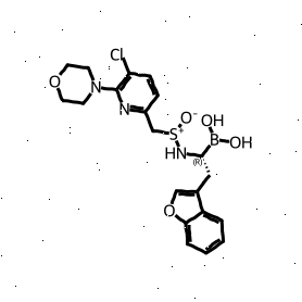 [O-][S+](Cc1ccc(Cl)c(N2CCOCC2)n1)N[C@@H](Cc1coc2ccccc12)B(O)O